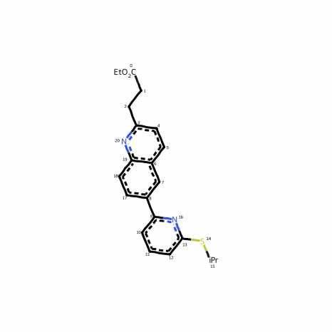 CCOC(=O)CCc1ccc2cc(-c3cccc(SC(C)C)n3)ccc2n1